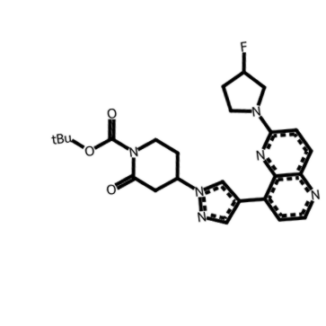 CC(C)(C)OC(=O)N1CCC(n2cc(-c3ccnc4ccc(N5CCC(F)C5)nc34)cn2)CC1=O